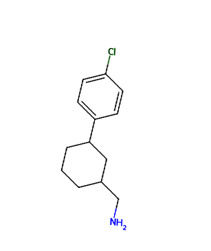 NCC1CCCC(c2ccc(Cl)cc2)C1